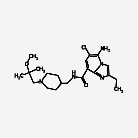 CCc1cn2c(N)c(Cl)cc(C(=O)NCC3CCN(CC(C)(C)OC)CC3)c2n1